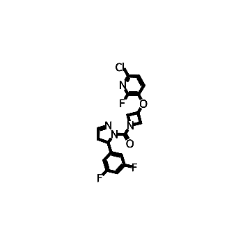 O=C(N1CC(Oc2ccc(Cl)nc2F)C1)N1N=CCC1c1cc(F)cc(F)c1